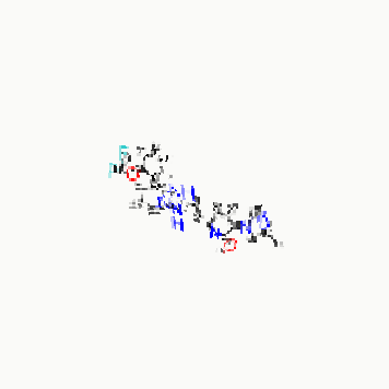 COc1nc(/C=C/C2NC3[C@H](c4ccccc4OC(F)F)CCCN3N2)ccc1-n1cnc(C)c1